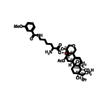 COc1cccc(C(=O)NCCCCC(N)C(=O)O[C@H]2[C@H](OC(C)=O)C[C@@]34COC[C@]2(C)[C@@H]3CC[C@H]2C4=CC[C@@]3(C)[C@H](C(=O)O)[C@@](C)([C@H](C)C(C)C)CC[C@]23C)c1